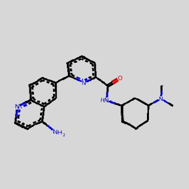 CN(C)C1CCCC(NC(=O)c2cccc(-c3ccc4nccc(N)c4c3)n2)C1